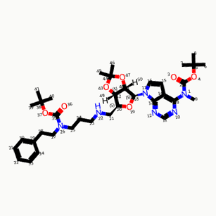 CN(C(=O)OC(C)(C)C)c1ncnc2c1ccn2[C@H]1O[C@@H](CNCCCN(CCc2ccccc2)C(=O)OC(C)(C)C)[C@@H]2OC(C)(C)O[C@@H]21